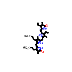 C=CC1=C(C)C(=O)N/C1=C\c1[nH]c(Cc2[nH]c(/C=C3\NC(=O)C(C)=C3CCC(=O)O)c(CCC(=O)O)c2C)c(C)c1C=C